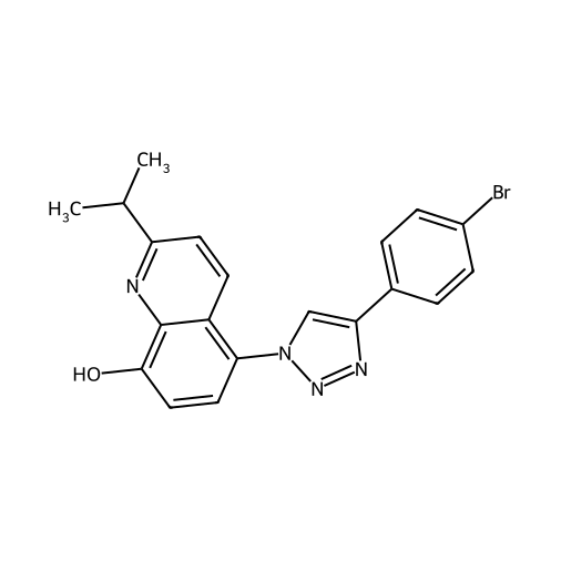 CC(C)c1ccc2c(-n3cc(-c4ccc(Br)cc4)nn3)ccc(O)c2n1